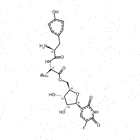 CC[C@H](C)[C@H](NC(=O)[C@@H](N)Cc1ccc(O)cc1)C(=O)OC[C@H]1O[C@@H](n2cc(F)c(=O)[nH]c2=O)[C@H](O)[C@@H]1O